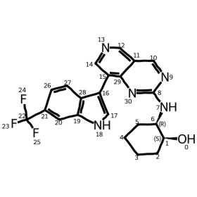 O[C@H]1CCCC[C@H]1Nc1ncc2cncc(-c3c[nH]c4cc(C(F)(F)F)ccc34)c2n1